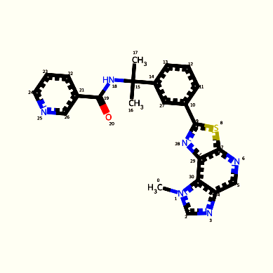 Cn1cnc2cnc3sc(-c4cccc(C(C)(C)NC(=O)c5cccnc5)c4)nc3c21